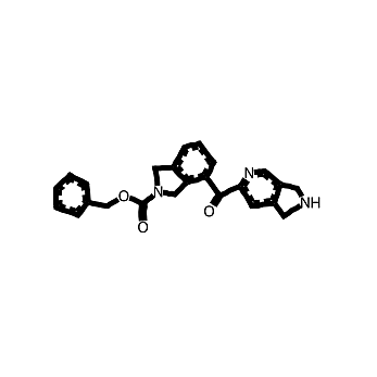 O=C(c1cc2c(cn1)CNC2)c1cccc2c1CN(C(=O)OCc1ccccc1)C2